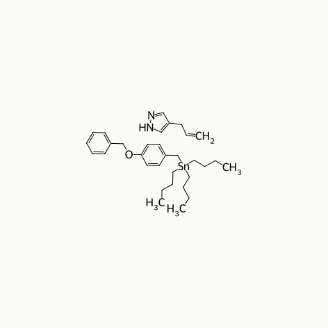 C=CCc1cn[nH]c1.CCC[CH2][Sn]([CH2]CCC)([CH2]CCC)[CH2]c1ccc(OCc2ccccc2)cc1